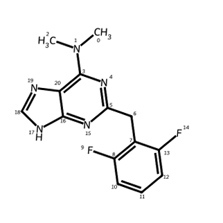 CN(C)c1nc(Cc2c(F)cccc2F)nc2[nH]cnc12